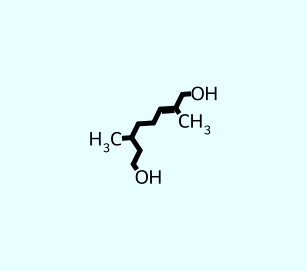 C/C(=C\CCC(C)CCO)CO